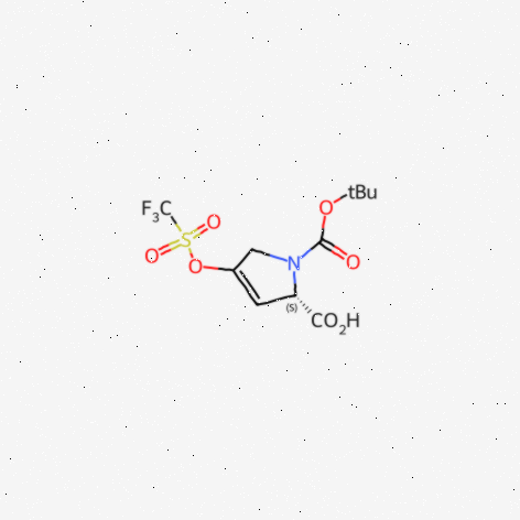 CC(C)(C)OC(=O)N1CC(OS(=O)(=O)C(F)(F)F)=C[C@H]1C(=O)O